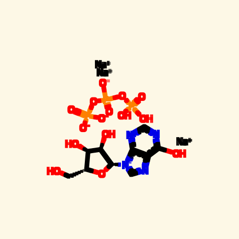 O=P([O-])([O-])OP(=O)([O-])OP(=O)(O)O.OC[C@H]1O[C@@H](n2cnc3c(O)ncnc32)[C@H](O)[C@@H]1O.[Na+].[Na+].[Na+]